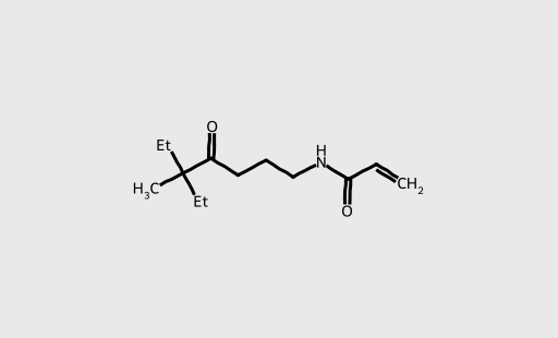 C=CC(=O)NCCCC(=O)C(C)(CC)CC